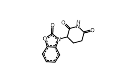 O=C1CCC(n2c(=O)oc3ccccc32)C(=O)N1